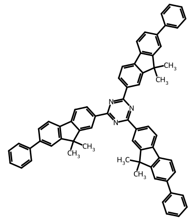 CC1(C)c2cc(-c3ccccc3)ccc2-c2ccc(-c3nc(-c4ccc5c(c4)C(C)(C)c4cc(-c6ccccc6)ccc4-5)nc(-c4ccc5c(c4)C(C)(C)c4cc(-c6ccccc6)ccc4-5)n3)cc21